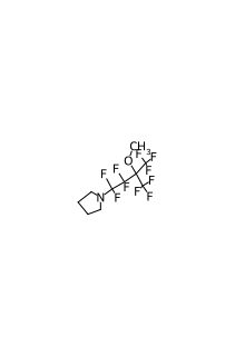 COC(C(F)(F)F)(C(F)(F)F)C(F)(F)C(F)(F)N1CCCC1